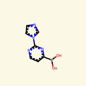 OB(O)c1ccnc(-n2ccnc2)n1